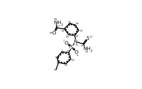 Cc1ccc(S(=O)(=O)N(C(N)=S)c2cccc(C(N)=O)c2)cc1